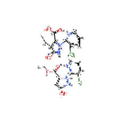 CCOC(=O)c1cc(O)nn1-c1ncccc1Cl.CCc1c(O)nn(-c2ncccc2Cl)c1C(=O)O